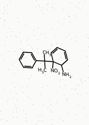 CC(C)(c1ccccc1)C1([N+](=O)[O-])C=CC=CC1N